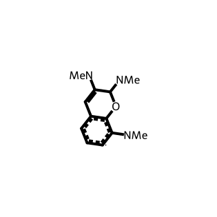 CNC1=Cc2cc[c]c(NC)c2OC1NC